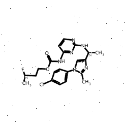 Cc1nc([C@H](C)Nc2nccc(NC(=O)OCC[C@@H](C)F)n2)cn1-c1ccc(Cl)cc1